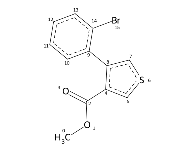 COC(=O)c1cscc1-c1ccccc1Br